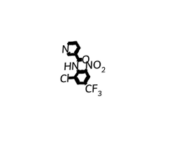 O=C(Nc1c(Cl)cc(C(F)(F)F)cc1[N+](=O)[O-])c1cccnc1